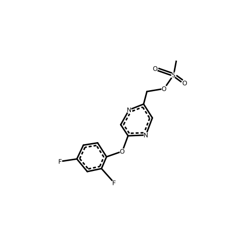 CS(=O)(=O)OCc1cnc(Oc2ccc(F)cc2F)cn1